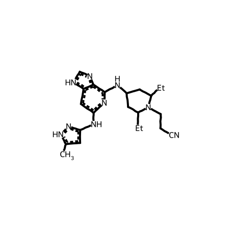 CCC1CC(Nc2nc(Nc3cc(C)[nH]n3)cc3[nH]cnc23)CC(CC)N1CCC#N